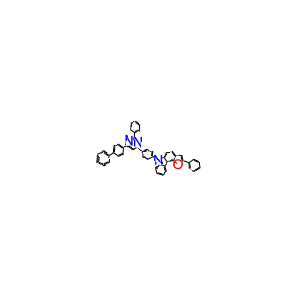 c1ccc(-c2ccc(-c3cc(-c4ccc(-n5c6ccccc6c6c7oc(-c8ccccc8)cc7ccc65)cc4)nc(-c4ccccc4)n3)cc2)cc1